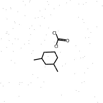 CC1CCCC(C)C1.O=C(Cl)Cl